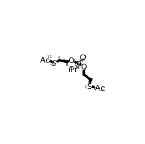 CC(=O)SCCOP(=O)(OCCSC(C)=O)C(C)C